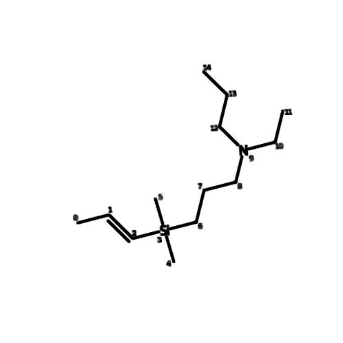 CC=C[Si](C)(C)CCCN(CC)CCC